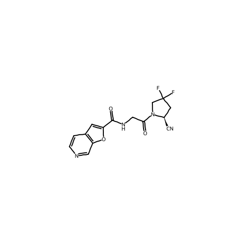 N#C[C@@H]1CC(F)(F)CN1C(=O)CNC(=O)c1cc2ccncc2o1